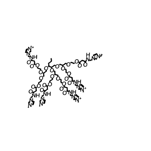 CCCC(OCC(COCCOC(=O)CC(=O)NCn1cc[n+](C)c1)OCCOC(=O)CC(=O)NCn1cc[n+](C)c1)C(COCC(COCCOC(=O)CC(=O)NCn1cc[n+](C)c1)OCCOC(=O)CC(=O)NCn1cc[n+](C)c1)OCC(COCCOC(=O)CC(=O)NCn1cc[n+](C)c1)OCCOC(=O)CC(=O)NCn1cc[n+](C)c1